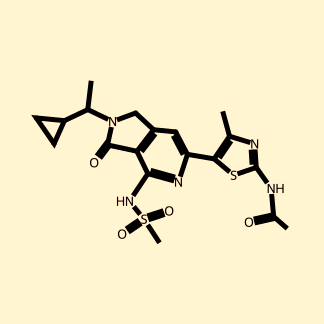 CC(=O)Nc1nc(C)c(-c2cc3c(c(NS(C)(=O)=O)n2)C(=O)N(C(C)C2CC2)C3)s1